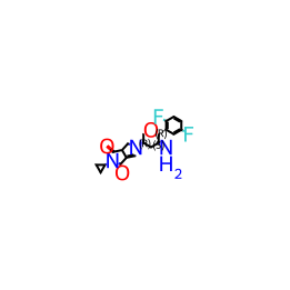 N[C@H]1C[C@@H](N2C=C3C(=O)N(C4CC4)C(=O)C3C2)CO[C@@H]1c1cc(F)ccc1F